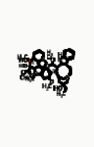 CCC1(O)CC2CN(CCc3c([nH]c4ccccc34)C(C(=O)OC)[C@H]2c2cc3c(cc2OC)N(C)C2C34CCN3CC=C[C@](CC)(C34)[C@@H](O)[C@]2(O)C(=O)OC)C1